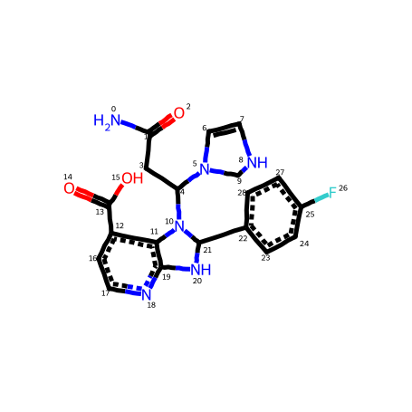 NC(=O)CC(N1C=CNC1)N1c2c(C(=O)O)ccnc2NC1c1ccc(F)cc1